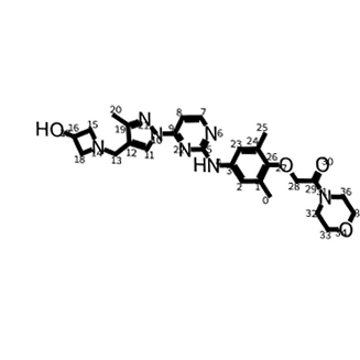 Cc1cc(Nc2nccc(-n3cc(CN4CC(O)C4)c(C)n3)n2)cc(C)c1OCC(=O)N1CCOCC1